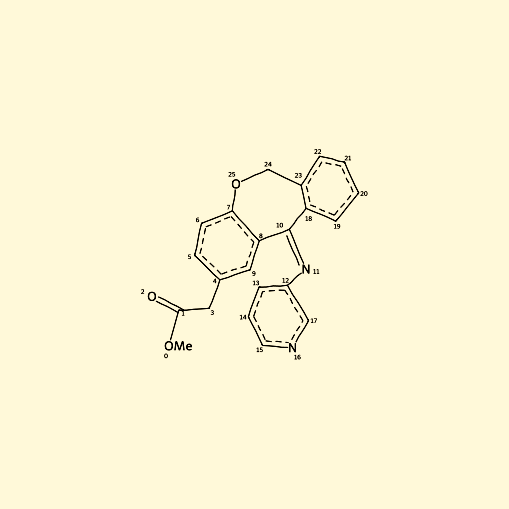 COC(=O)Cc1ccc2c(c1)C(=Nc1cccnc1)c1ccccc1CO2